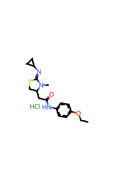 CCOc1ccc(NC(=O)CC2CS/C(=N\C3CC3)N2C)cc1.Cl